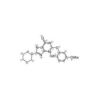 CCCn1c(Oc2cccc(OC)c2)nc(=O)c2c1N=C(C1CCCCC1)[N]2